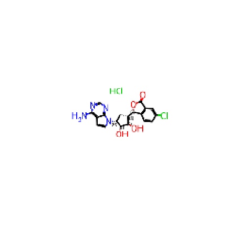 Cl.Nc1ncnc2c1ccn2[C@@H]1C[C@H]([C@@H]2OC(=O)c3cc(Cl)ccc32)[C@@H](O)[C@H]1O